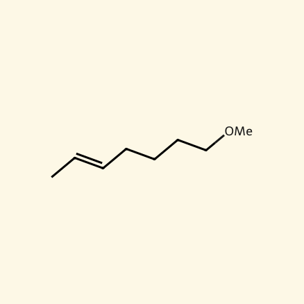 [CH2]OCCCCC=CC